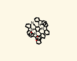 N#Cc1c(-n2c3ccccc3c3ccccc32)c(-n2c3ccccc3c3ccccc32)c(-c2cccc3c2sc2ccccc23)c(-n2c3ccccc3c3ccccc32)c1-n1c2ccccc2c2ccccc21